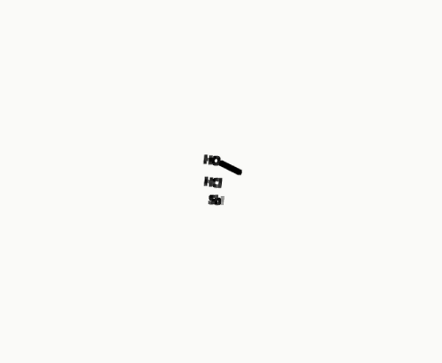 CO.Cl.[Sb]